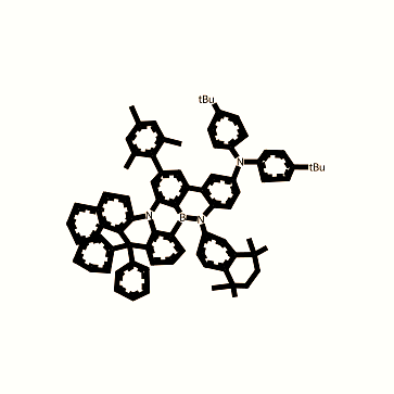 Cc1cc(C)c(-c2cc3c4c(c2)N2c5ccc6ccccc6c5C(c5ccccc5)(c5ccccc5)c5cccc(c52)B4N(c2ccc4c(c2)C(C)(C)CCC4(C)C)c2ccc(N(c4ccc(C(C)(C)C)cc4)c4ccc(C(C)(C)C)cc4)cc2-3)c(C)c1